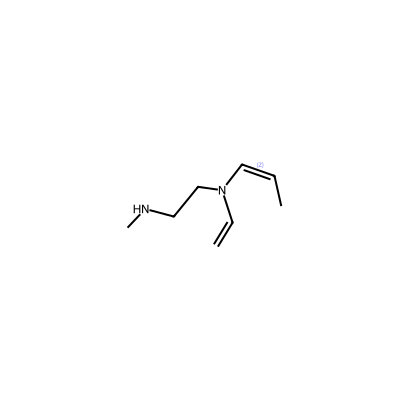 C=CN(/C=C\C)CCNC